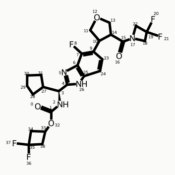 O=C(N[C@H](c1nc2c(F)c(C3COCC3C(=O)N3CC(F)(F)C3)ccc2[nH]1)C1CCCC1)OC1CC(F)(F)C1